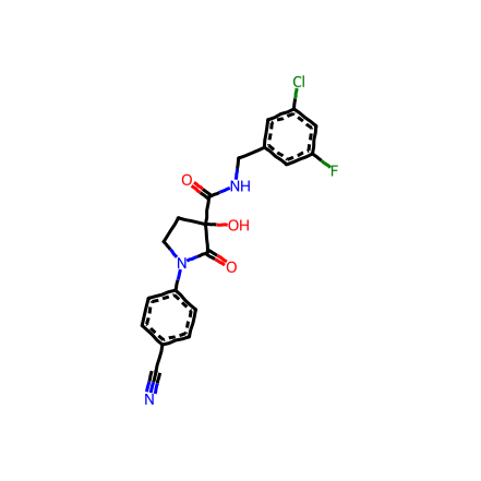 N#Cc1ccc(N2CCC(O)(C(=O)NCc3cc(F)cc(Cl)c3)C2=O)cc1